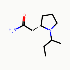 CCC(C)N1CCC[C@H]1CC(N)=O